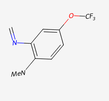 C=Nc1cc(OC(F)(F)F)ccc1NC